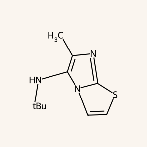 Cc1nc2sccn2c1NC(C)(C)C